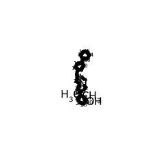 CC1CN2CCN(Cc3ccc(-c4ccccc4)cc3)CC2C[C@@]1(C)c1cccc(O)c1